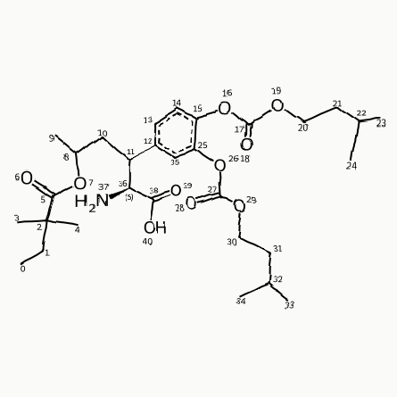 CCC(C)(C)C(=O)OC(C)CC(c1ccc(OC(=O)OCCC(C)C)c(OC(=O)OCCC(C)C)c1)[C@H](N)C(=O)O